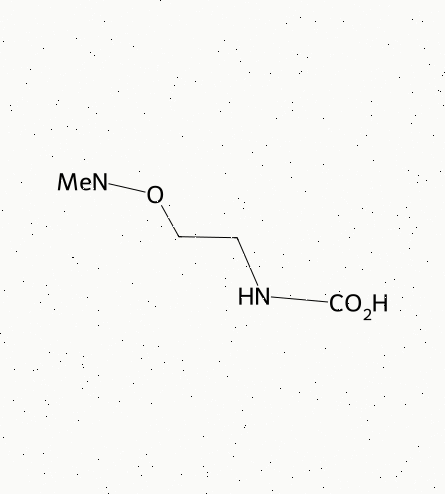 CNOCCNC(=O)O